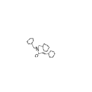 O=C(C#Cc1ccccc1)N(Cc1ccccc1)Cc1ccccc1